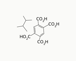 CC(C)C(C)C.O=C(O)c1cc(C(=O)O)c(C(=O)O)cc1C(=O)O